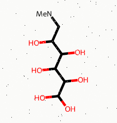 CNCC(O)C(O)C(O)C(O)C(O)O